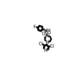 O=S(=O)(Nc1ccc(F)cc1)N1CCCN(c2c(Cl)cncc2Cl)CC1